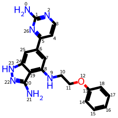 Nc1nccc(-c2cc(NCCOc3ccccc3)c3c(N)n[nH]c3c2)n1